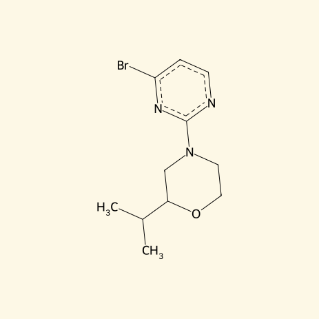 CC(C)C1CN(c2nccc(Br)n2)CCO1